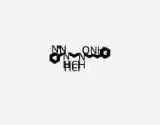 Cl.Cl.NC(CC(=O)NCCCNc1ncnc2ccccc12)Cc1ccccc1